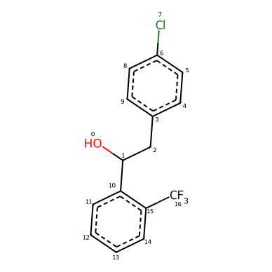 OC(Cc1ccc(Cl)cc1)c1ccccc1C(F)(F)F